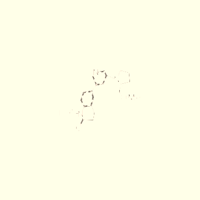 COC[C@@H]1CCCN1c1cncc(-c2ccc3c(c2)CCC(=O)N3C)c1